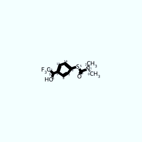 CN(C)C(=O)Sc1ccc(C(O)C(F)(F)F)cc1